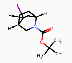 CC(C)(C)OC(=O)N1C[C@@H]2CC[C@H]1C[C@H]2I